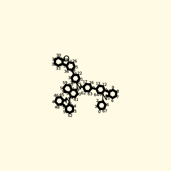 c1ccc(-n2c3ccccc3c3ccc(-c4ccc(N(c5ccc(-c6ccc7oc8ccccc8c7c6)cc5)c5ccc(-n6c7ccccc7c7ccccc76)c6ccccc56)cc4)cc32)cc1